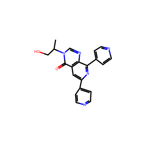 CC(CO)n1cnc2c(-c3ccncc3)nc(-c3ccncc3)cc2c1=O